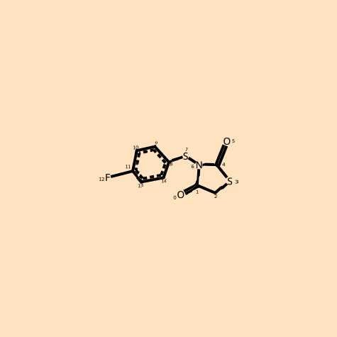 O=C1CSC(=O)N1Sc1ccc(F)cc1